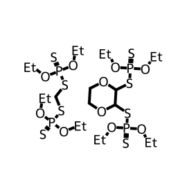 CCOP(=S)(OCC)SC1OCCOC1SP(=S)(OCC)OCC.CCOP(=S)(OCC)SCSP(=S)(OCC)OCC